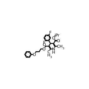 CC1=C(C(=O)OCCCOc2ccccc2)C(c2cc(F)ccc2F)C(C(=O)OC(C)C)=C(C)N1